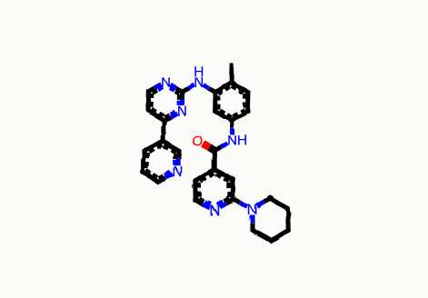 Cc1ccc(NC(=O)c2ccnc(N3CCCCC3)c2)cc1Nc1nccc(-c2cccnc2)n1